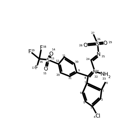 Cc1cc(Cl)ccc1C(c1ccc(S(=O)(=O)C(F)(F)F)cc1)=[N+](N)C=NS(C)(=O)=O